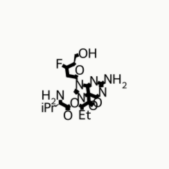 CCC(OC(=O)[C@@H](N)C(C)C)C(=O)C12N=CN([C@H]3CC(F)[C@@H](CO)O3)C1=NC(N)=NC2=O